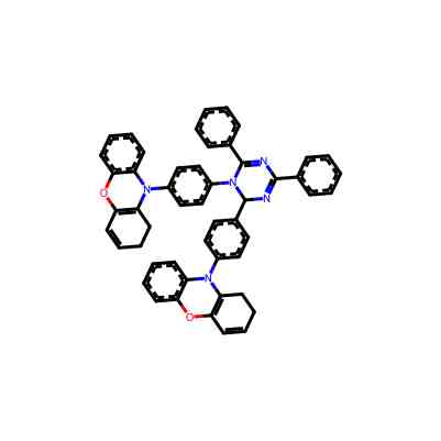 C1=CC2=C(CC1)N(c1ccc(C3N=C(c4ccccc4)N=C(c4ccccc4)N3c3ccc(N4C5=C(C=CCC5)Oc5ccccc54)cc3)cc1)c1ccccc1O2